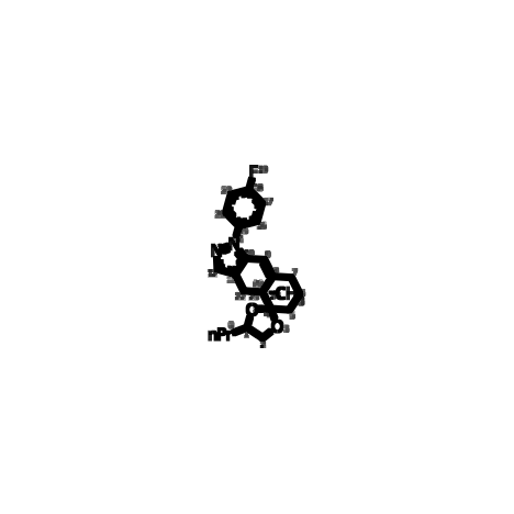 CCCC1COC2(CCCC3=Cc4c(cnn4-c4ccc(F)cc4)C[C@@]32C)O1